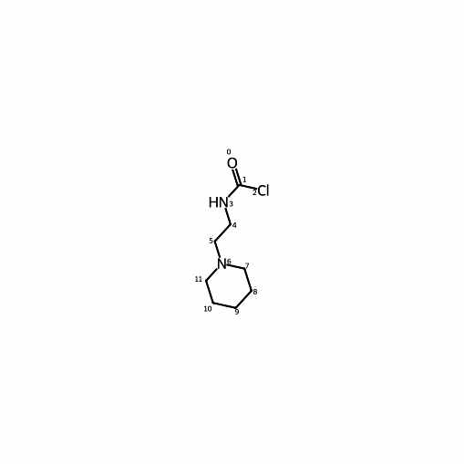 O=C(Cl)NCCN1CCCCC1